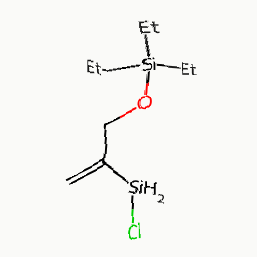 C=C(CO[Si](CC)(CC)CC)[SiH2]Cl